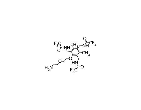 Cc1c(CNC(=O)C(F)(F)F)c(C)c(CNC(=O)C(F)(F)F)c(OCCOCCN)c1CNC(=O)C(F)(F)F